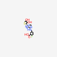 O=C(O)c1cc(CNc2nccn3c([C@@H]4SC[C@@H](O)[C@H]4O)nnc23)ccc1F